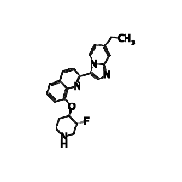 CCc1ccn2c(-c3ccc4cccc(O[C@@H]5CCNC[C@H]5F)c4n3)cnc2c1